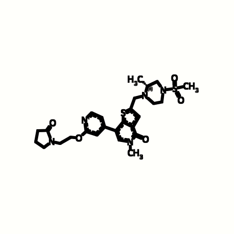 C[C@@H]1CN(S(C)(=O)=O)CCN1Cc1cc2c(=O)n(C)cc(-c3ccnc(OCCN4CCCC4=O)c3)c2s1